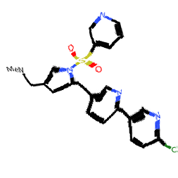 CNCc1cc(-c2ccc(-c3ccc(Cl)nc3)nc2)n(S(=O)(=O)c2cccnc2)c1